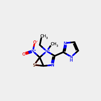 CC[N+]1(C)C(c2ncc[nH]2)=NC2SC21[N+](=O)[O-]